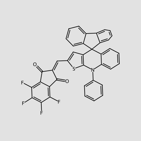 O=C1C(=Cc2cc3c(s2)N(c2ccccc2)c2ccccc2C32c3ccccc3-c3ccccc32)C(=O)c2c(F)c(F)c(F)c(F)c21